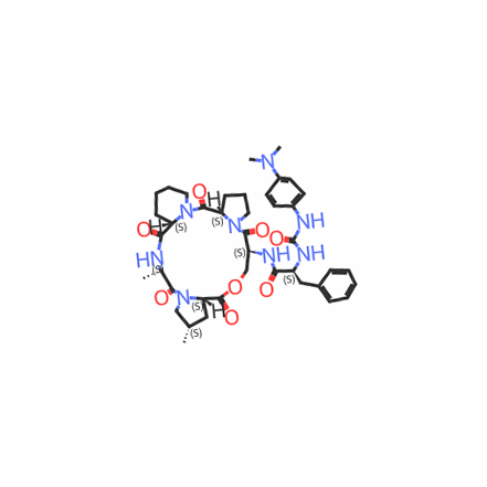 C[C@H]1C[C@H]2C(=O)OC[C@H](NC(=O)[C@H](Cc3ccccc3)NC(=O)Nc3ccc(N(C)C)cc3)C(=O)N3CCC[C@H]3C(=O)N3CCCC[C@H]3C(=O)N[C@@H](C)C(=O)N2C1